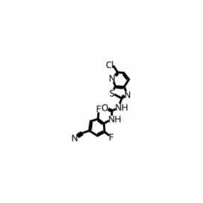 N#Cc1cc(F)c(NC(=O)Nc2nc3ccc(Cl)nc3s2)c(F)c1